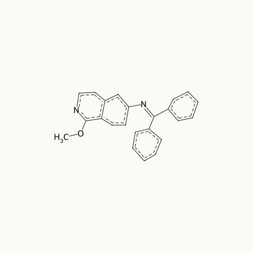 COc1nccc2cc(N=C(c3ccccc3)c3ccccc3)ccc12